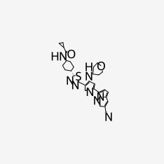 N#Cc1cnn2c(-c3cc(NC4CCOCC4)c(-c4nnc([C@H]5CC[C@H](NC(=O)C6CC6)CC5)s4)cn3)ccc2c1